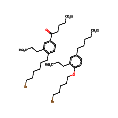 CCOC(=O)CCCC(=O)c1ccc(CCCCCCBr)c(CCC(=O)OCC)c1.CCOC(=O)CCCCc1ccc(OCCCCCBr)c(CCC(=O)OCC)c1